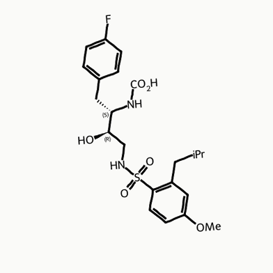 COc1ccc(S(=O)(=O)NC[C@@H](O)[C@H](Cc2ccc(F)cc2)NC(=O)O)c(CC(C)C)c1